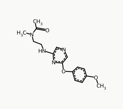 COc1ccc(Oc2cncc(NCCN(C)C(C)=O)n2)cc1